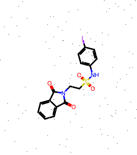 O=C1c2ccccc2C(=O)N1CCS(=O)(=O)Nc1ccc(I)cc1